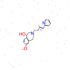 COc1ccc2c(c1)CCN(CC/C(C)=C/c1ccccn1)CC2O